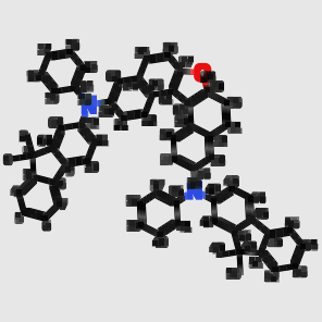 CC1(C)c2ccccc2-c2ccc(N(c3ccccc3)c3ccc4c(ccc5oc6ccc7cc(N(c8ccccc8)c8ccc9c(c8)C(C)(C)c8ccccc8-9)ccc7c6c54)c3)cc21